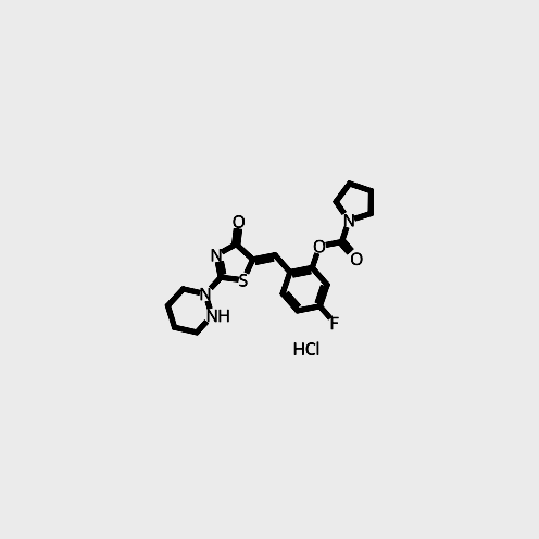 Cl.O=C1N=C(N2CCCCN2)SC1=Cc1ccc(F)cc1OC(=O)N1CCCC1